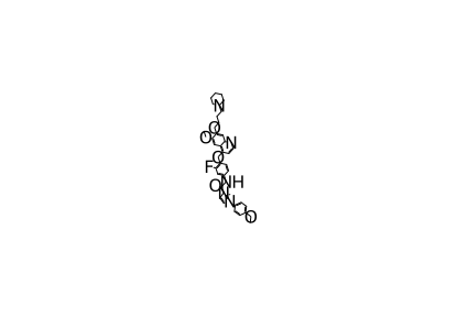 COc1ccc(N2C=CN(C(=O)Nc3ccc(Oc4ccnc5cc(OCCCN6CCCCC6)c(OC)cc45)c(F)c3)C2)cc1